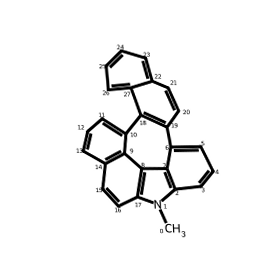 Cn1c2cccc3c2c2c4c(cccc4ccc21)-c1c-3ccc2ccccc12